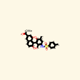 COC(=O)c1ccc2c(-c3c(C)c(NS(=O)(=O)c4ccc(C)cc4)cc(C)c3O)c(O)ccc2c1